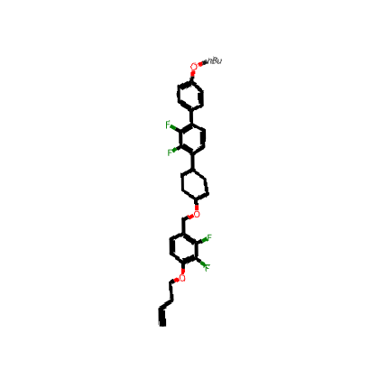 C=CCCOc1ccc(COC2CCC(c3ccc(-c4ccc(OCCCC)cc4)c(F)c3F)CC2)c(F)c1F